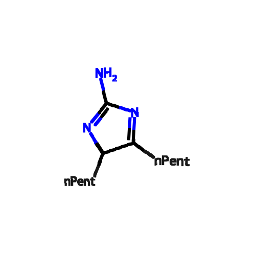 CCCCCC1=NC(N)=NC1CCCCC